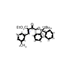 CCOC(=O)/C(=C\c1cncc(C)c1)C(=O)CO[Si](c1ccccc1)(c1ccccc1)C(C)(C)C